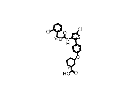 C[C@@H](OC(=O)Nc1cc(Cl)sc1-c1ccc(OC2CCC[C@H](C(=O)O)C2)cc1)c1ccccc1Cl